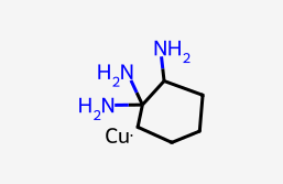 NC1CCCCC1(N)N.[Cu]